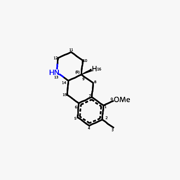 COc1c(C)ccc2c1C[C@H]1CCCNC1C2